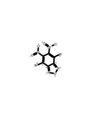 O=[N+]([O-])c1c([N+](=O)[O-])c(Br)c2nonc2c1Br